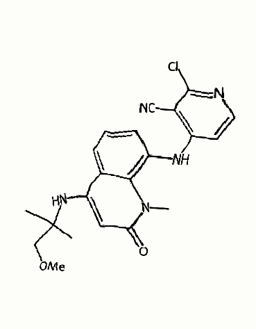 COCC(C)(C)Nc1cc(=O)n(C)c2c(Nc3ccnc(Cl)c3C#N)cccc12